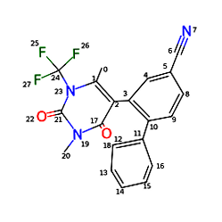 Cc1c(-c2cc(C#N)ccc2-c2ccccc2)c(=O)n(C)c(=O)n1C(F)(F)F